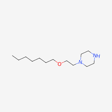 CCCCCCCOCCN1CCNCC1